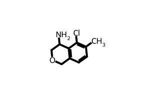 Cc1ccc2c(c1Cl)C(N)COC2